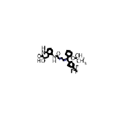 CC(C)Oc1ccccc1/C(=C\C=C\C(=O)Nc1cccc2c1CC(O)C(=O)N2)c1ccc(C(F)(F)F)cc1